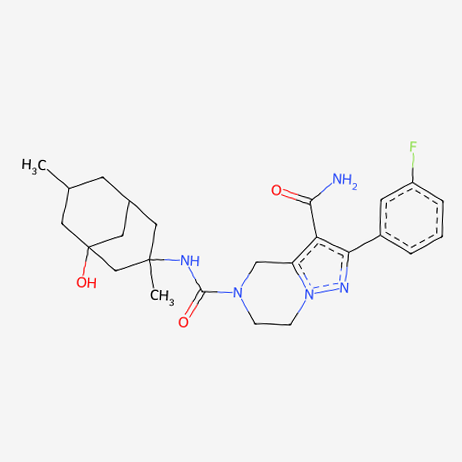 CC1CC2CC(O)(C1)CC(C)(NC(=O)N1CCn3nc(-c4cccc(F)c4)c(C(N)=O)c3C1)C2